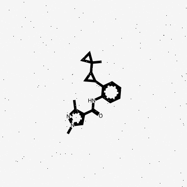 Cc1nn(C)cc1C(=O)Nc1ccccc1C1CC1C1(C)CC1